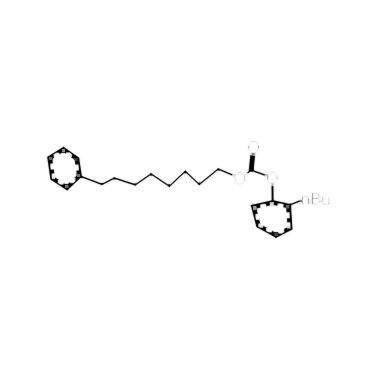 CCCCc1ccccc1OC(=O)OCCCCCCCCc1ccccc1